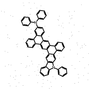 c1ccc(N(c2ccccc2)c2ccc3c(c2)c2ccccc2c2cc4c(cc32)c2ccccc2c2cc3c(cc42)c2ccccc2n3-c2ccccc2)cc1